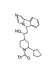 CCC(=O)N1CCC(C(O)CC2c3ccccc3-c3cncn32)CC1C1CCCC1